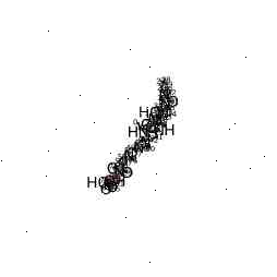 C=CC(=O)Nc1cc(Nc2nc(N3CCC[C@H](N4CCn5c(cc6c5CC(C)(C)C6)C4=O)[C@H]3C(C)O)cn(C)c2=O)ccc1N1CCN(C2CCN(c3ccc4c(c3)C(=O)N(C3CCC(C)(OP(=O)(O)O)CC3)C4=O)[C@H](C)C2)C[C@@H]1C